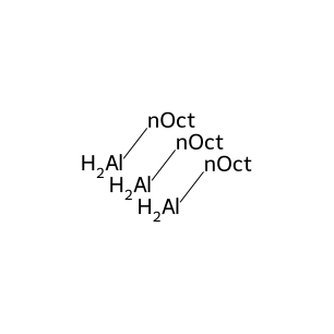 CCCCCCC[CH2][AlH2].CCCCCCC[CH2][AlH2].CCCCCCC[CH2][AlH2]